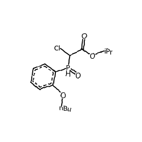 CCCCOc1ccccc1[PH](=O)C(Cl)C(=O)OC(C)C